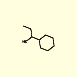 CCC(S)C1CCCCC1